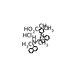 Cc1cc(N2CC(C)(CCN[C@H](C)c3cccc4ccccc34)Oc3ccccc32)cc(C(=O)O)c1C.Cl